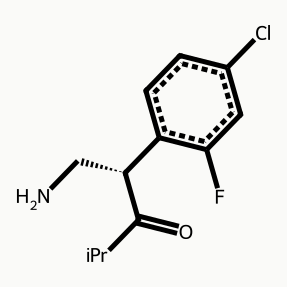 CC(C)C(=O)[C@H](CN)c1ccc(Cl)cc1F